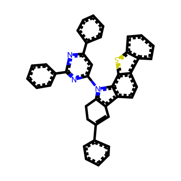 C1=C(c2ccccc2)CCc2c1c1ccc3c4ccccc4sc3c1n2-c1cc(-c2ccccc2)nc(-c2ccccc2)n1